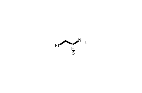 CCC[PH](N)=S